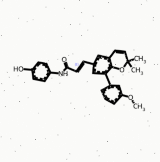 COc1cccc(-c2cc(/C=C/C(=O)Nc3ccc(O)cc3)cc3c2OC(C)(C)C=C3)c1